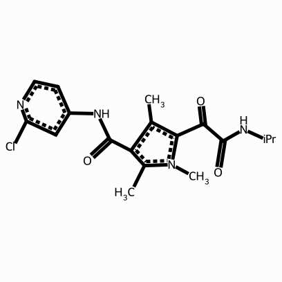 Cc1c(C(=O)Nc2ccnc(Cl)c2)c(C)n(C)c1C(=O)C(=O)NC(C)C